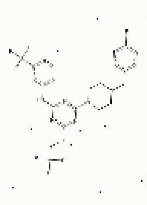 Fc1ccc(CN2CCN(c3nc(Nc4cccc(C(F)(F)F)c4)nc(OCC(F)(F)F)n3)CC2)cc1